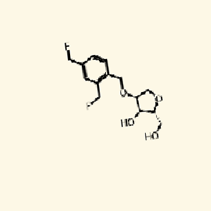 OC[C@H]1OC[C@H](OCc2ccc(CF)cc2CF)[C@@H]1O